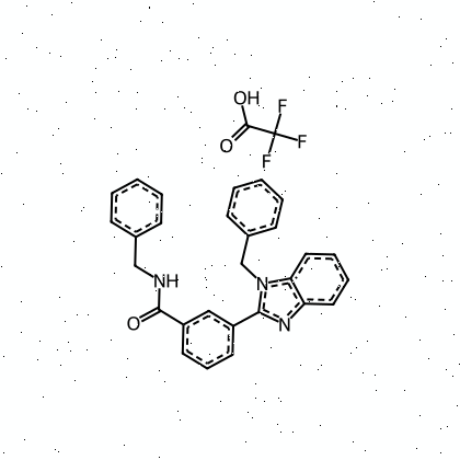 O=C(NCc1ccccc1)c1cccc(-c2nc3ccccc3n2Cc2ccccc2)c1.O=C(O)C(F)(F)F